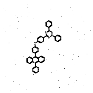 C1=CC(C2=NC(c3ccccc3)CC(c3ccccc3)=N2)CC=C1Oc1ccc(-c2c3ccccc3c(-c3ccccc3)c3ccccc23)cc1